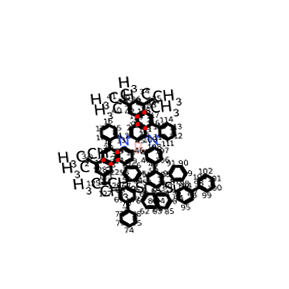 CC(C)(C)c1cc(-c2ccc3c(c2)N(c2ccccc2-c2ccccc2)c2cc(-c4cc(C(C)(C)C)cc(C(C)(C)C)c4)cc4c2B3c2cc(-c3cc([Si](c5ccccc5)(c5ccccc5)c5cccc(-c6ccccc6)c5)cc([Si](c5ccccc5)(c5ccccc5)c5cccc(-c6ccccc6)c5)c3)ccc2N4c2ccccc2-c2ccccc2)cc(C(C)(C)C)c1